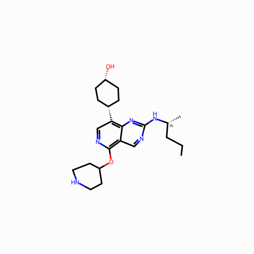 CCC[C@@H](C)Nc1ncc2c(OC3CCNCC3)ncc([C@H]3CC[C@@H](O)CC3)c2n1